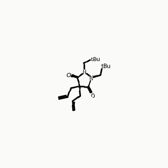 C=CCC1(CC=C)C(=O)N(CC(C)(C)C)N(CC(C)(C)C)C1=O